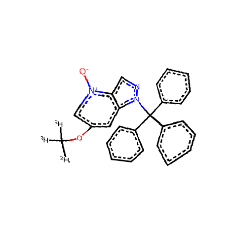 [2H]C([2H])([2H])Oc1cc2c(cnn2C(c2ccccc2)(c2ccccc2)c2ccccc2)[n+]([O-])c1